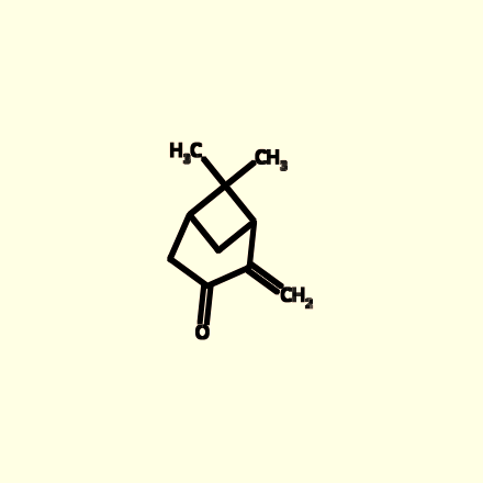 C=C1C(=O)CC2CC1C2(C)C